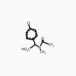 CN(C(=O)C(F)(F)F)C(C(=O)O)c1ccc(Cl)cc1